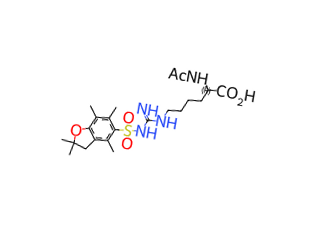 CC(=O)N[C@H](CCCCNC(=N)NS(=O)(=O)c1c(C)c(C)c2c(c1C)CC(C)(C)O2)C(=O)O